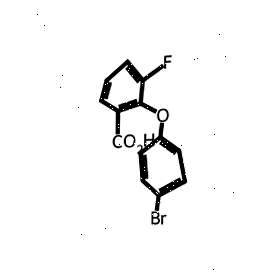 O=C(O)c1cccc(F)c1Oc1ccc(Br)cc1